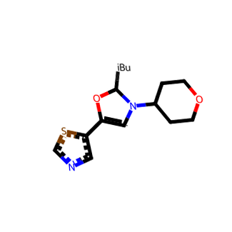 CCC(C)C1OC(c2cncs2)=[C]N1C1CCOCC1